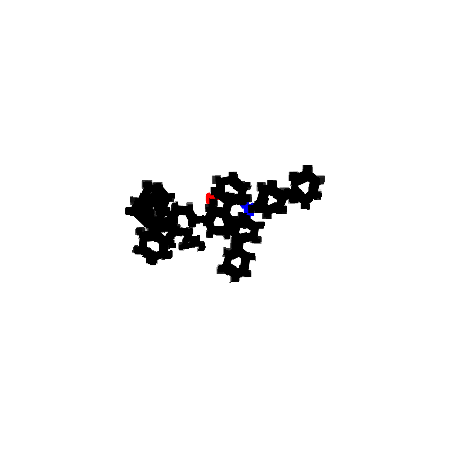 CCC1=C(/C=C\Cc2cccc3c2oc2cccc(N(c4ccc(-c5ccccc5)cc4)c4ccc(-c5ccccc5)cc4)c23)C2(c3ccccc31)C1CC3CC(C1)CC2C3